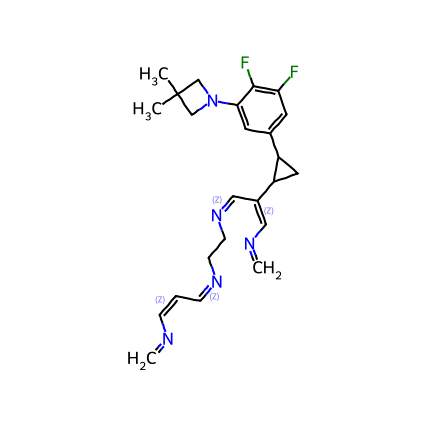 C=N/C=C\C=N/CC/N=C\C(=C/N=C)C1CC1c1cc(F)c(F)c(N2CC(C)(C)C2)c1